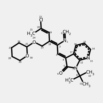 C=NC(/C=C1/C(=O)N(C(C)(C)C)c2ncccc21)=C(\C=C(/C)Cl)COC1CCCCO1